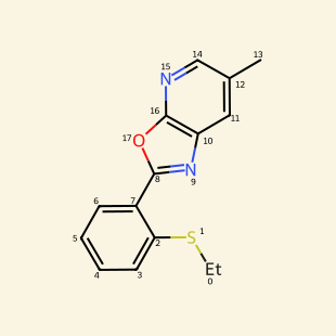 CCSc1ccccc1-c1nc2cc(C)cnc2o1